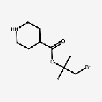 CC(C)(CBr)OC(=O)C1CCNCC1